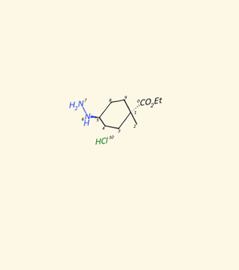 CCOC(=O)[C@]1(C)CC[C@@H](NN)CC1.Cl